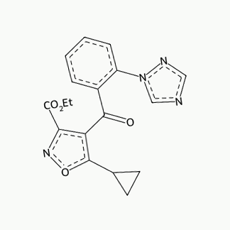 CCOC(=O)c1noc(C2CC2)c1C(=O)c1ccccc1-n1cncn1